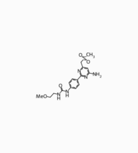 COCCNC(=O)Nc1ccc(-c2nc(N)cc(CS(C)(=O)=O)n2)cc1